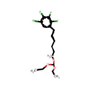 CCOC(OCC)O[SiH2]CCCCCc1cc(F)c(F)c(F)c1F